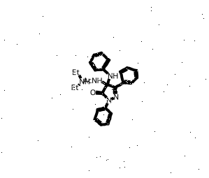 CC(=O)NC1(Nc2ccccc2)C(=O)N(c2ccccc2)N=C1c1ccccc1.CCNCC